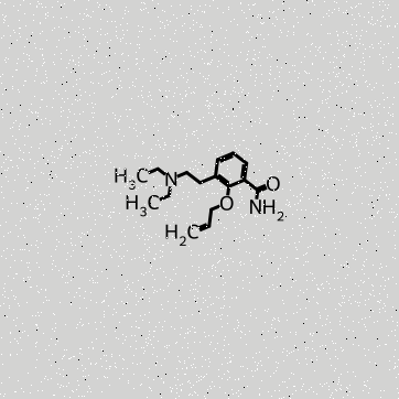 C=CCOc1c(CCN(CC)CC)cccc1C(N)=O